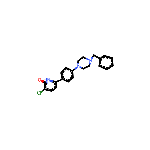 O=c1[nH]c(-c2ccc(N3CCN(Cc4ccccc4)CC3)cc2)ccc1Cl